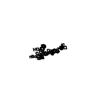 CCCCN(CCCC)C(=O)c1nn(-c2ccc(C(=O)NS(=O)(=O)c3ccc4c(c3)CCN4Cc3ccc(Cl)c(Cl)c3)cc2C(=O)N2Cc3ccccc3CC2CO)c(C)c1Cl